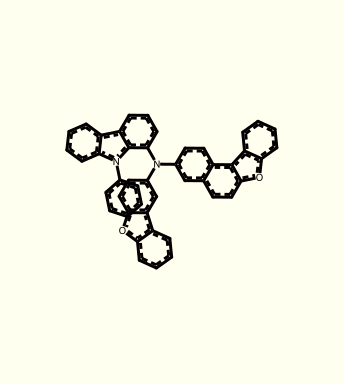 c1ccc(-n2c3ccccc3c3cccc(N(c4ccc5c(ccc6oc7ccccc7c65)c4)c4ccc5oc6ccccc6c5c4)c32)cc1